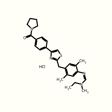 CCN(C)/C=N\c1cc(C)c(Cc2nc(-c3ccc(C(=O)N4CCCC4)cc3)cs2)cc1C.Cl